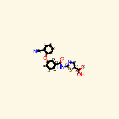 N#Cc1ccccc1Oc1cccc(C(=O)NC2=NCC(C(=O)O)S2)c1